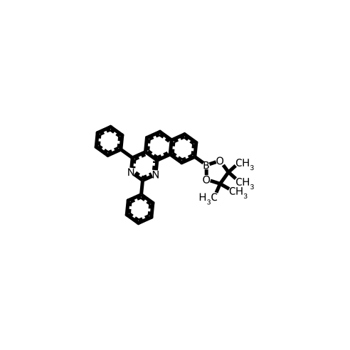 CC1(C)OB(c2ccc3ccc4c(-c5ccccc5)nc(-c5ccccc5)nc4c3c2)OC1(C)C